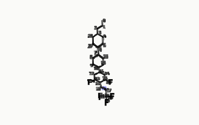 CCCC1CCC(C2CCC(C3CC(F)C(/C=C/C(F)(F)F)C(F)C3)CC2)CC1